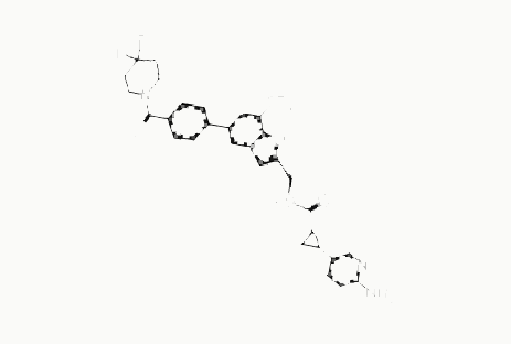 Nc1ccc([C@H]2C[C@@H]2C(=O)NCc2cc3cc(-c4ccc(C(=O)N5CCC(F)(F)CC5)cc4)cc(C(F)(F)F)c3o2)cn1